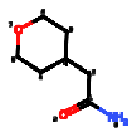 NC(=O)[CH]C1CCOCC1